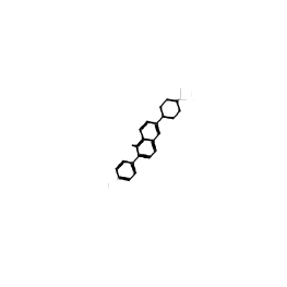 CCC1CCC(c2ccc3c(F)c(-c4ccc(C(F)(F)F)cc4)ccc3c2)CC1